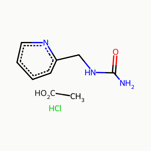 CC(=O)O.Cl.NC(=O)NCc1ccccn1